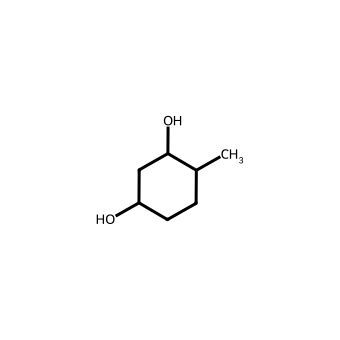 CC1CCC(O)CC1O